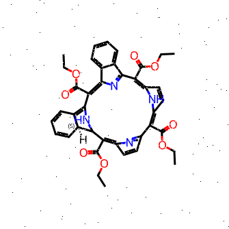 CCOC(=O)C1=C2N=C(C(C(=O)OCC)=c3ccc([nH]3)=C(C(=O)OCC)C3=NC(=C(C(=O)OCC)C4NC1=C1C=CC=C[C@@H]14)C=C3)c1ccccc12